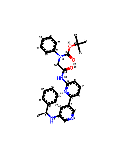 C[C@H](Nc1cncc(-c2cccc(NC(=O)CN(C(=O)OC(C)(C)C)c3ccccc3)n2)c1)c1ccccc1